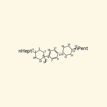 CCCCCCCC1CCC(F)(c2ccc([C@H]3CC[C@H](CCCCC)CC3)cc2)CC1